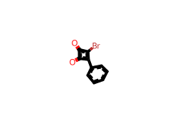 O=c1c(Br)c(-c2ccccc2)c1=O